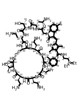 CCN(CC)CCNC(=O)c1c(C)[nH]c(/C=C2\C(=O)N(CC(=O)N[C@@H](CCN)C(=O)N[C@H](C(=O)N[C@@H](CCN)C(=O)N[C@H]3CCNC(=O)[C@H]([C@@H](C)O)NC(=O)[C@H](CCN)NC(=O)[C@H](CCN)NC(=O)[C@H](CC(C)C)NC(=O)[C@@H](Cc4ccccc4)NC(=O)[C@H](CCN)NC3=O)[C@@H](C)O)c3ccc(F)cc32)c1C